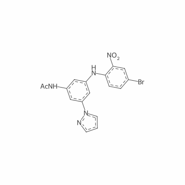 CC(=O)Nc1cc(Nc2ccc(Br)cc2[N+](=O)[O-])cc(-n2cccn2)c1